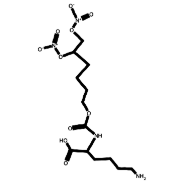 NCCCCC(NC(=O)OCCCCC(CO[N+](=O)[O-])O[N+](=O)[O-])C(=O)O